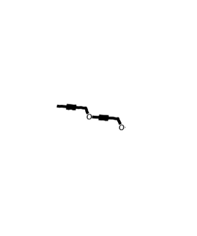 CC#CCOC#CC[O]